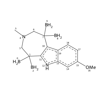 BC1(B)CN(C)CC(B)(B)c2c1[nH]c1cc(OC)ccc21